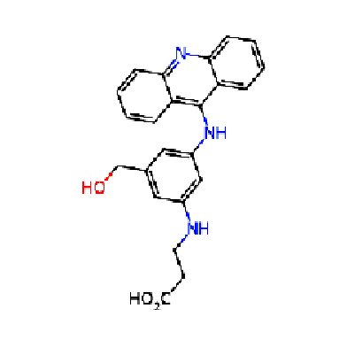 O=C(O)CCNc1cc(CO)cc(Nc2c3ccccc3nc3ccccc23)c1